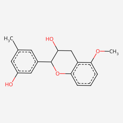 COc1cccc2c1CC(O)C(c1cc(C)cc(O)c1)O2